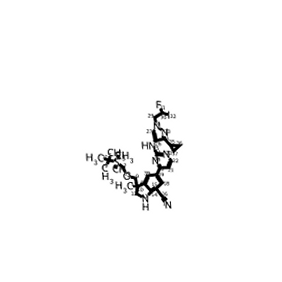 CC(C)(C)S(C)(C)COC[C@@]1(C)CNc2c(C#N)cc(-c3ccnc(Nc4cn(CC(F)I)nc4C4CC4)n3)cc21